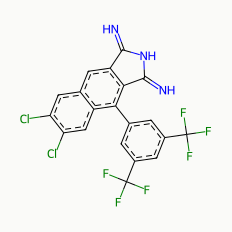 N=C1NC(=N)c2c1cc1cc(Cl)c(Cl)cc1c2-c1cc(C(F)(F)F)cc(C(F)(F)F)c1